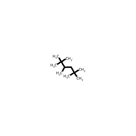 [CH2]C(C)(C)C(C)CC(C)(C)C